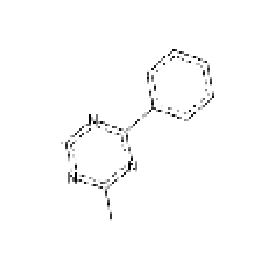 Cc1n[c]nc(-c2ccccc2)n1